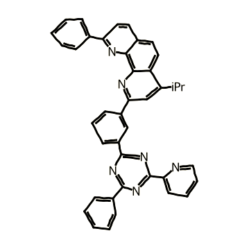 CC(C)c1cc(-c2cccc(-c3nc(-c4ccccc4)nc(-c4ccccn4)n3)c2)nc2c1ccc1ccc(-c3ccccc3)nc12